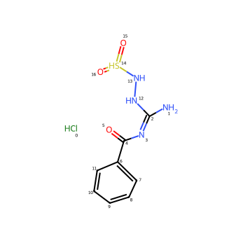 Cl.NC(=NC(=O)c1ccccc1)NN[SH](=O)=O